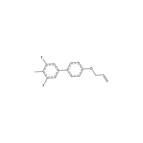 C=CCOc1ccc(-c2cc(F)c(C)c(F)c2)cc1